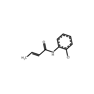 CC=CC(=O)Nc1ccccc1Cl